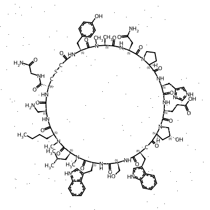 CCCC[C@H]1C(=O)N[C@@H](CN)C(=O)N[C@H](C(=O)NCC(N)=O)CSCC(=O)N[C@@H](Cc2ccc(O)cc2)C(=O)N(C)[C@@H](C)C(=O)N[C@@H](CC(N)=O)C(=O)N2CCC[C@H]2C(=O)N[C@@H](Cc2c[nH]cn2)C(=O)N[C@@H](CCC(=O)O)C(=O)N2C[C@H](O)C[C@H]2C(=O)C[C@@H](Cc2c[nH]c3ccccc23)C(=O)N[C@@H](CO)C(=O)N[C@@H](Cc2c[nH]c3ccccc23)C(=O)N(C)[C@@H](CC(C)C)C(=O)N1C